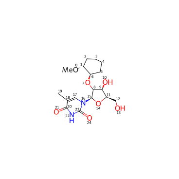 CO[C@@H]1CCCC[C@H]1OC1[C@@H](O)[C@@H](CO)O[C@H]1n1cc(C)c(=O)[nH]c1=O